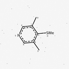 CSc1c(C)[c]ncc1C